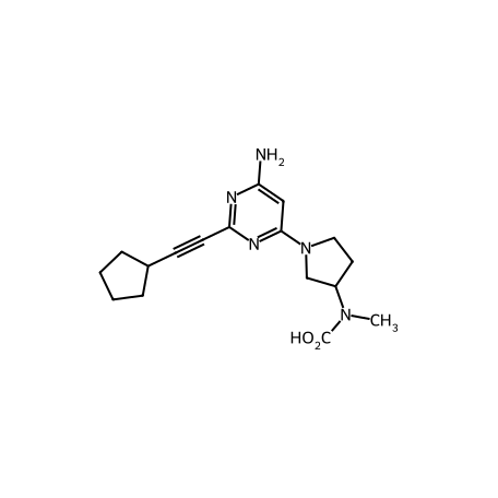 CN(C(=O)O)C1CCN(c2cc(N)nc(C#CC3CCCC3)n2)C1